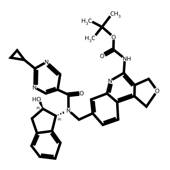 CC(C)(C)OC(=O)Nc1nc2cc(CN(C(=O)c3cnc(C4CC4)nc3)[C@@H]3c4ccccc4C[C@H]3O)ccc2c2c1COC2